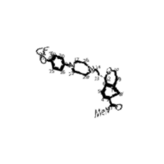 CNC(=O)c1ccc2c(c1)CCO[C@H]2CCN1CCN(c2ccc(OC(F)(F)F)cc2)CC1